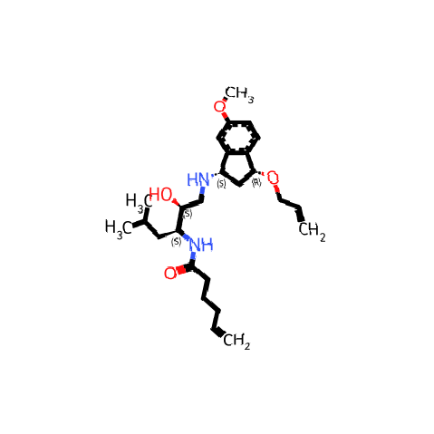 C=CCCCC(=O)N[C@@H](CC(C)C)[C@@H](O)CN[C@H]1C[C@@H](OCC=C)c2ccc(OC)cc21